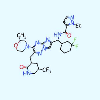 CCn1nccc1C(=O)N[C@H](c1cn2nc(CC3C[C@@H](C(F)(F)F)CNC3=O)c(N3CCO[C@H](C)C3)nc2n1)[C@@H]1CCCC(F)(F)C1